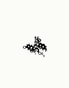 CCCC1C(=O)N(C(Cc2ccc(Cl)cc2)C(=O)NC)CCN1C(=O)C(Cc1ccc(F)cc1)NC(=O)C(F)(F)F